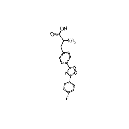 NC(Cc1ccc(-c2noc(-c3ccc(F)cc3)n2)cc1)C(=O)O